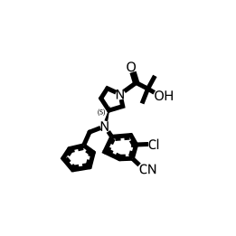 CC(C)(O)C(=O)N1CC[C@H](N(Cc2ccccc2)c2ccc(C#N)c(Cl)c2)C1